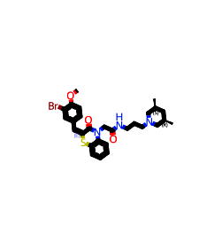 COc1ccc(/C=C2/Sc3ccccc3N(CC(=O)NCCCN3C[C@H](C)C[C@H](C)C3)C2=O)cc1Br